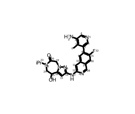 Cc1c(N)cncc1-c1cc2cc(Nc3cc4n(n3)CC(=O)N(C(C)C)CC4O)ncc2cc1F